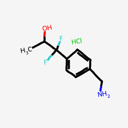 CC(O)C(F)(F)c1ccc(CN)cc1.Cl